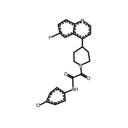 O=C(Nc1ccc(Cl)cc1)C(=O)N1CCC(c2ccnc3ccc(F)cc23)CC1